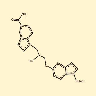 CCCCCCCn1ccc2cc(OCC(O)Cn3ccc4cc(C(N)=O)ccc43)ccc21